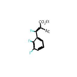 CCOC(=O)C(C(C)=O)=C(F)c1cccc(F)c1F